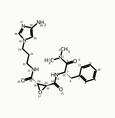 CN(C)C(=O)[C@H](Cc1ccccc1)NC(=O)[C@H]1O[C@@H]1C(=O)NCCCn1cnc(N)c1